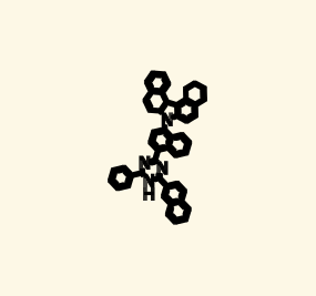 C1=Cc2ccc3c(c2CC1)C1c2ccccc2C=CC1N3c1ccc(C2=NC(c3ccccc3)NC(c3ccc4ccccc4c3)=N2)c2ccccc12